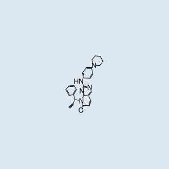 C#CC(c1ccccc1)n1c(=O)ccc2cnc(Nc3ccc(N4CCCCC4)cc3)nc21